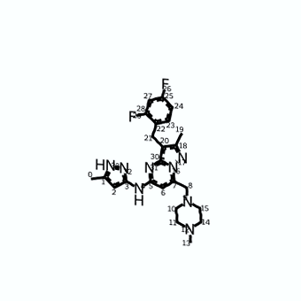 Cc1cc(Nc2cc(CN3CCN(C)CC3)n3nc(C)c(Cc4ccc(F)cc4F)c3n2)n[nH]1